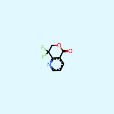 O=C1OCC(F)(F)c2ncccc21